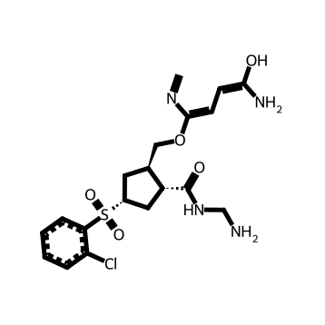 C=N/C(=C\C=C(/N)O)OC[C@@H]1C[C@@H](S(=O)(=O)c2ccccc2Cl)C[C@H]1C(=O)NCN